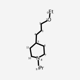 CCOCCCC1CCN(C(C)C)CC1